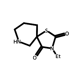 CCN1C(=O)SC2(CCCNC2)C1=O